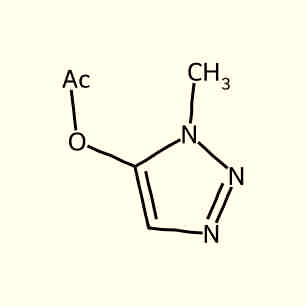 CC(=O)Oc1cnnn1C